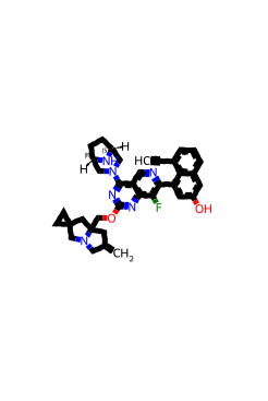 C#Cc1cccc2cc(O)cc(-c3ncc4c(N5C[C@H]6CC[C@@H](C5)N6)nc(OCC56CC(=C)CN5CC5(CC5)C6)nc4c3F)c12